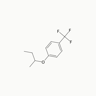 CCC(C)Oc1ccc(C(F)(F)F)cc1